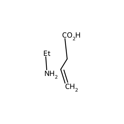 C=CCC(=O)O.CCN